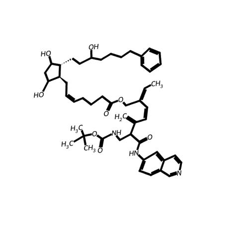 C=C(/C=C\C(=C/C)COC(=O)CCC/C=C\C[C@H]1C(O)CC(O)[C@@H]1CCC(O)CCCCc1ccccc1)C(CNC(=O)OC(C)(C)C)C(=O)Nc1ccc2cnccc2c1